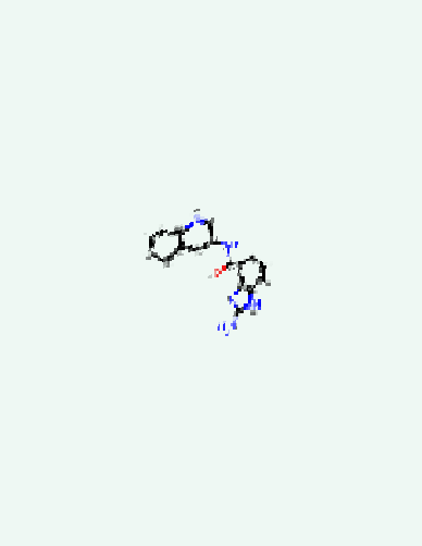 Nc1nc2c(C(=O)Nc3cnc4ccccc4c3)cccc2[nH]1